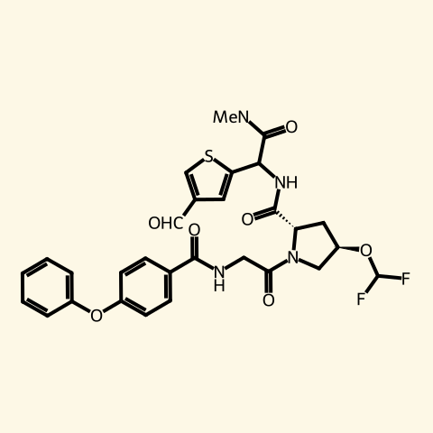 CNC(=O)C(NC(=O)[C@@H]1C[C@@H](OC(F)F)CN1C(=O)CNC(=O)c1ccc(Oc2ccccc2)cc1)c1cc(C=O)cs1